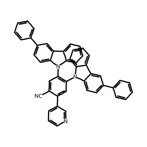 N#Cc1cc(-n2c3ccccc3c3cc(-c4ccccc4)ccc32)c(-n2c3ccccc3c3cc(-c4ccccc4)ccc32)cc1-c1cccnc1